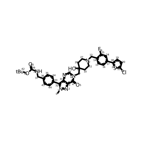 Cn1nc2c(=O)n(CC3(O)CCN(Cc4ccc(-c5ccc(Cl)s5)cc4F)CC3)cnc2c1-c1ccc(CNC(=O)OC(C)(C)C)cc1